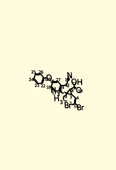 CC1(C)C(C=C(Br)Br)[C@@]1(C(=O)O)C(C#N)c1cccc(Oc2ccccc2)c1